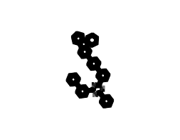 c1ccc(-c2cccc(-c3nc(-c4ccccc4)nc(-c4cccc(-c5ccc(-c6ccc7c(c6)C6(CCCCC6)c6ccccc6-7)cc5)c4)n3)c2)cc1